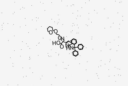 O=C(O)C(=NOCCOC1CCCCO1)c1csc(NC(c2ccccc2)(c2ccccc2)c2ccccc2)n1